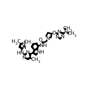 Cc1cnc(Nc2cc(C)n(C)n2)nc1-c1c[nH]c2c(NC(=O)CN3CCC(Oc4ncnc(N(C)C)n4)C3)cccc12